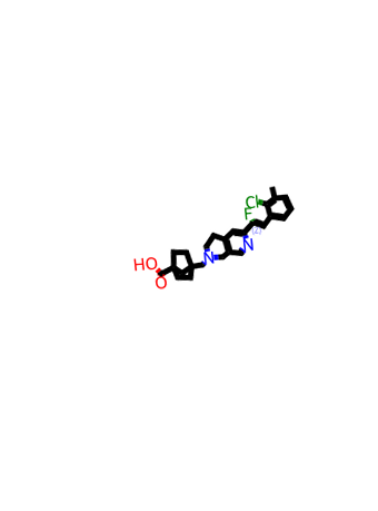 Cc1cccc(/C=C(\F)c2cc3c(cn2)CN(CC24CCC(C(=O)O)(CC2)C4)CC3)c1Cl